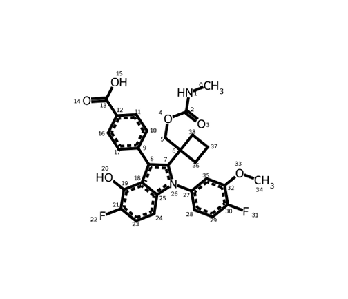 CNC(=O)OCC1(c2c(-c3ccc(C(=O)O)cc3)c3c(O)c(F)ccc3n2-c2ccc(F)c(OC)c2)CCC1